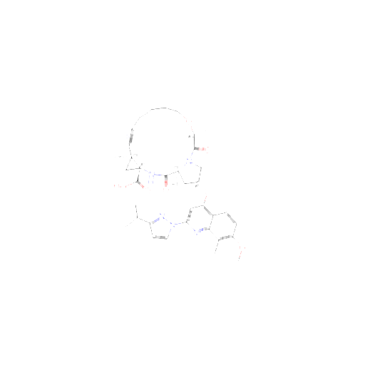 COc1ccc2c(O[C@@H]3C[C@H]4C(=O)N[C@]5(C(=O)O)C[C@H]5/C=C\CCCCO[C@H](C)C(=O)N4C3)cc(-n3ccc(C(C)C)n3)nc2c1C